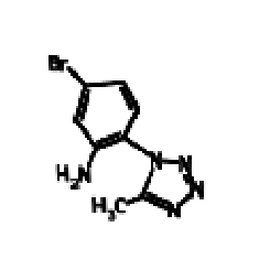 Cc1nnnn1-c1ccc(Br)cc1N